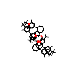 Cc1cc(C2C=CC=CC3=C2C=C(C(C)C)[C]32[SiH](C)[C]3(C(C(C)C)=CC4=C3C=CC=CC4c3cc(C)c(C(C)(C)C)c(C)c3)[Hf]23([Cl])([Cl])[C]2(C(C(C)C)=CC4=C2C=CC=CC4c2cc(C)c(C(C)(C)C)c(C)c2)[SiH](C)[C]32C(C(C)C)=CC3=C2C=CC=CC3c2cc(C)c(C(C)(C)C)c(C)c2)cc(C)c1C(C)(C)C